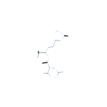 C=C(NC)NCCCC(NC(=C)[C@@H](NC(C)C)C(C)C)C(=C)C